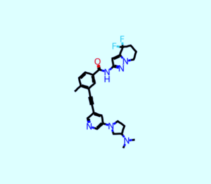 Cc1ccc(C(=O)Nc2cc3n(n2)CCCC3(F)F)cc1C#Cc1cncc(N2CCC(N(C)C)C2)c1